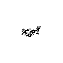 COc1ncnc(C2CC2)c1-c1ncc2ccc(=O)n(Cc3ccc(-c4nc(C(F)(F)F)cn4C(C)C)cc3Br)c2n1